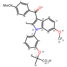 COc1ccc(C(=O)c2c(C)n(-c3cccc(OC(C)(C)C(=O)O)c3)c3cc(OC(F)(F)F)ccc23)cc1